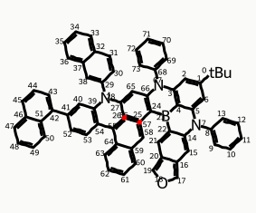 CC(C)(C)c1cc2c3c(c1)N(c1ccccc1)c1cc4cocc4cc1B3c1ccc(N(c3ccc4ccccc4c3)c3cc(-c4cccc5ccccc45)ccc3-c3cccc4ccccc34)cc1N2c1ccccc1